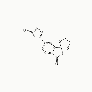 Cn1cc(-c2ccc3c(c2)C2(CC3=O)OCCO2)cn1